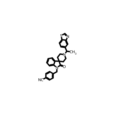 CC(c1ccc2scnc2c1)N1CCC2(CC1)C(=O)N(Cc1ccc(C#N)cc1)c1ccccc12